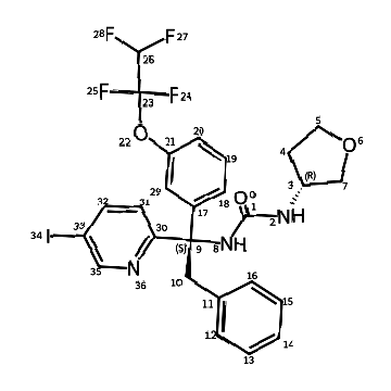 O=C(N[C@@H]1CCOC1)N[C@@](Cc1ccccc1)(c1cccc(OC(F)(F)C(F)F)c1)c1ccc(I)cn1